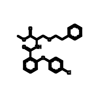 COC(=O)C(COCCc1ccccc1)NC(=O)c1ccccc1Oc1ccc(Cl)cc1